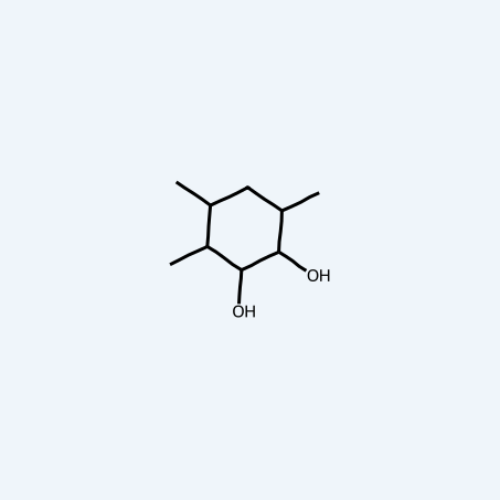 CC1CC(C)C(O)C(O)C1C